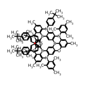 Cc1cc(C)c(N2c3cc4c(cc3B3c5cc6c(cc5Oc5cc(C)cc2c53)N(c2c(C)cc(C)cc2C)c2cc(C)cc3c2B6c2sc5ccc(C(C)(C)C)cc5c2N3c2ccc(C(C)(C)C)cc2)B2c3sc5ccc(C(C)(C)C)cc5c3N(c3ccc(C(C)(C)C)cc3)c3cc(C)cc(c32)N4c2ccc(C(C)(C)C)cc2)c(C)c1